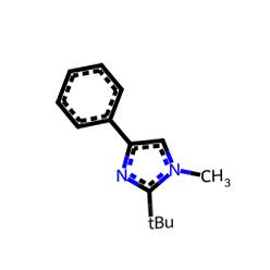 Cn1cc(-c2ccccc2)nc1C(C)(C)C